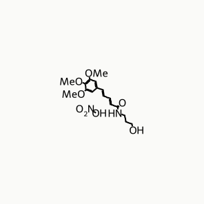 COc1cc(C=CC=CC(=O)NCCCO)cc(OC)c1OC.O=[N+]([O-])O